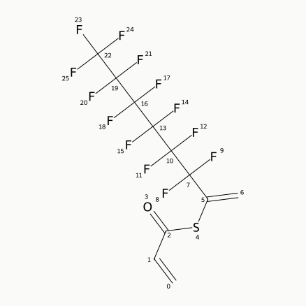 C=CC(=O)SC(=C)C(F)(F)C(F)(F)C(F)(F)C(F)(F)C(F)(F)C(F)(F)F